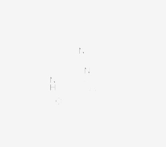 CNc1c(-c2ccco2)c(=O)n(-c2ccccc2)c2nc(C)ccc12